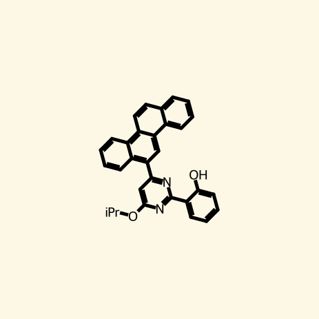 CC(C)Oc1cc(-c2cc3c4ccccc4ccc3c3ccccc23)nc(-c2ccccc2O)n1